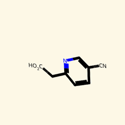 N#Cc1ccc(CC(=O)O)nc1